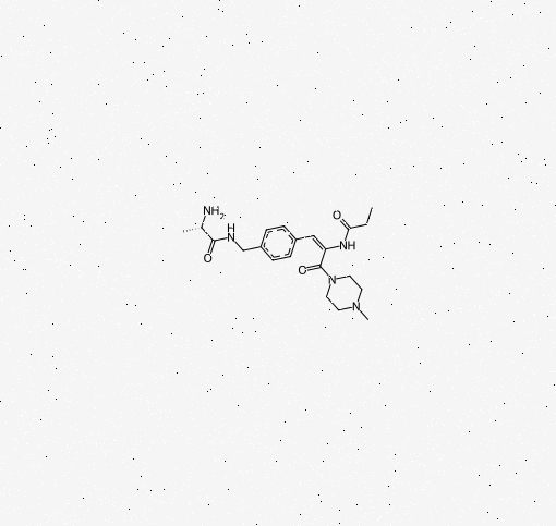 CCC(=O)N/C(=C/c1ccc(CNC(=O)[C@H](C)N)cc1)C(=O)N1CCN(C)CC1